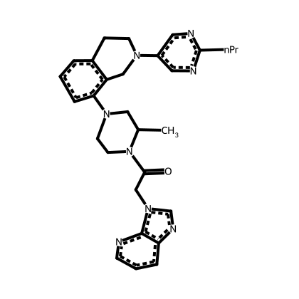 CCCc1ncc(N2CCc3cccc(N4CCN(C(=O)Cn5cnc6cccnc65)C(C)C4)c3C2)cn1